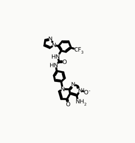 Nc1c2c(=O)ccn(-c3ccc(NC(=O)Nc4cc(C(F)(F)F)ccc4-n4cccn4)cc3)c2nc[n+]1[O-]